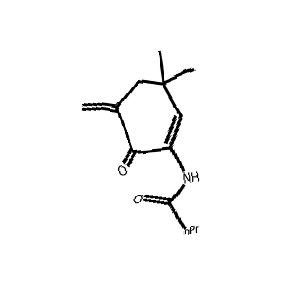 C=C1CC(C)(C)C=C(NC(=O)CCC)C1=O